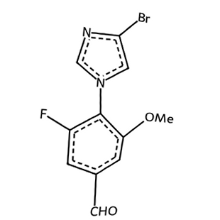 COc1cc(C=O)cc(F)c1-n1cnc(Br)c1